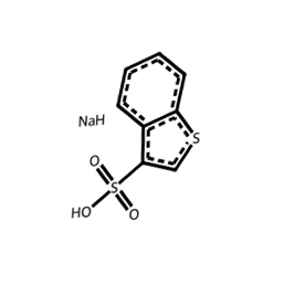 O=S(=O)(O)c1csc2ccccc12.[NaH]